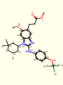 COC(=O)CCc1cc2nc(Nc3ccc(OC(F)(F)F)cc3)n(C3C[C@H](C)CC(C)(C)C3)c2cc1OC